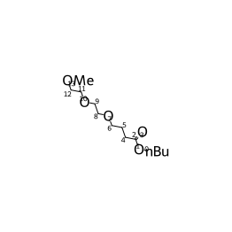 CCCCOC(=O)CCCOCCOCCOC